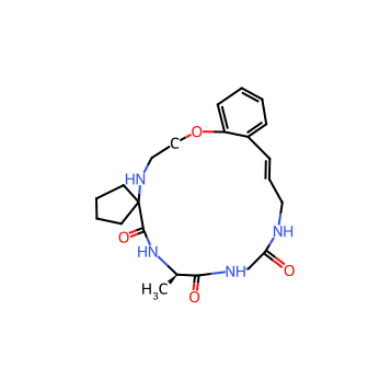 C[C@H]1NC(=O)C2(CCCC2)NCCOc2ccccc2/C=C/CNC(=O)CNC1=O